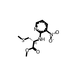 COC(=O)[C@H](CSC)Nc1ncccc1[N+](=O)[O-]